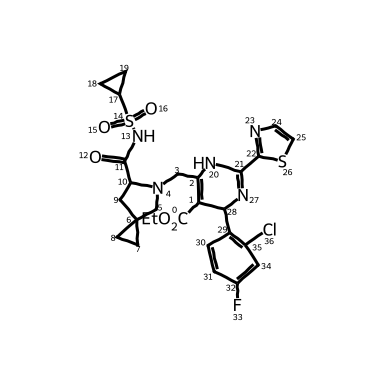 CCOC(=O)C1=C(CN2CC3(CC3)CC2C(=O)NS(=O)(=O)C2CC2)NC(c2nccs2)=NC1c1ccc(F)cc1Cl